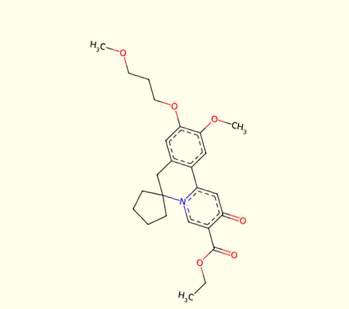 CCOC(=O)c1cn2c(cc1=O)-c1cc(OC)c(OCCCOC)cc1CC21CCCC1